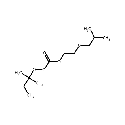 CCC(C)(C)OOC(=O)OCCOCC(C)C